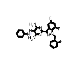 Nc1nc(-c2nn(Cc3ccccc3F)c3c(F)cc(F)cc23)nc(N)c1/N=N/c1ccccc1